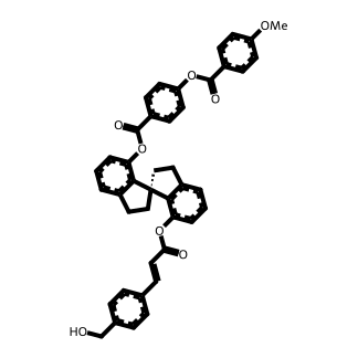 COc1ccc(C(=O)Oc2ccc(C(=O)Oc3cccc4c3[C@]3(CCc5cccc(OC(=O)/C=C/c6ccc(CO)cc6)c53)CC4)cc2)cc1